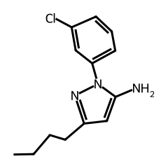 CCCCc1cc(N)n(-c2cccc(Cl)c2)n1